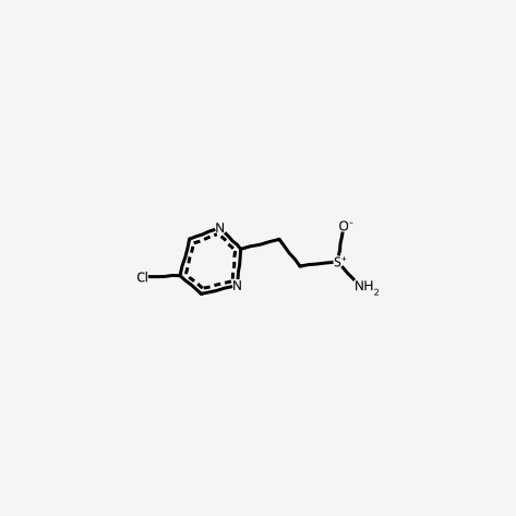 N[S+]([O-])CCc1ncc(Cl)cn1